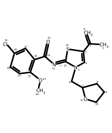 C=C(C)c1cn(CC2CCCO2)/c(=N/C(=O)c2cc(Cl)ccc2OC)s1